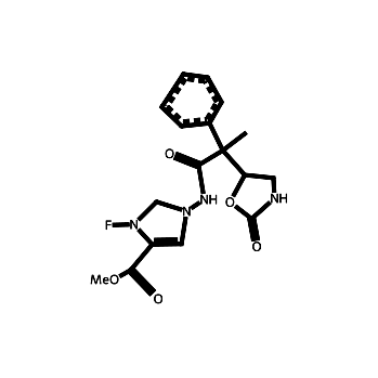 COC(=O)C1=CN(NC(=O)C(C)(c2ccccc2)C2CNC(=O)O2)CN1F